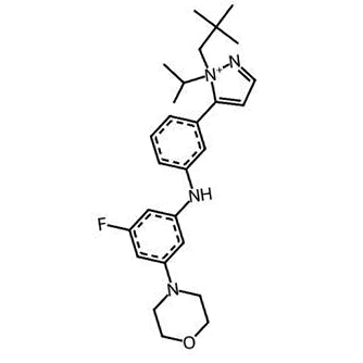 CC(C)[N+]1(CC(C)(C)C)N=CC=C1c1cccc(Nc2cc(F)cc(N3CCOCC3)c2)c1